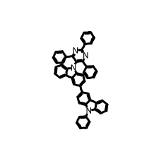 c1ccc(-c2nc(-c3ccccc3)c(-n3c4ccccc4c4cc(-c5ccc6c(c5)c5ccccc5n6-c5ccccc5)ccc43)c(-c3ccccc3)n2)cc1